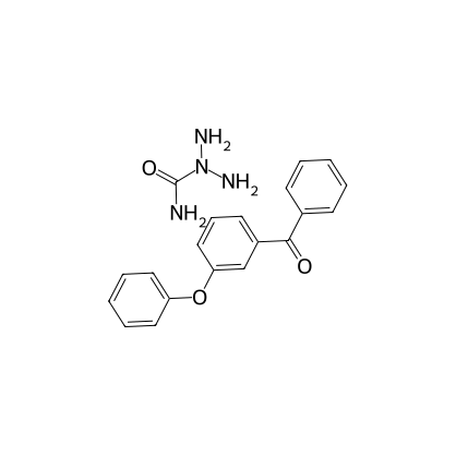 NC(=O)N(N)N.O=C(c1ccccc1)c1cccc(Oc2ccccc2)c1